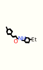 CCc1ccc(CNC(=O)C=Cc2ccc(C)cc2)cc1